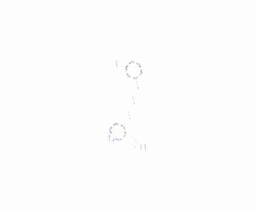 CCc1cnccc1CCCCCc1cccc(Cl)c1